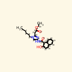 CCCCCCn1cc(NC(=O)c2c(O)ccc3ccccc23)nc1CC(=O)OCC